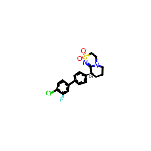 O=S1(=O)CCN2CCC[C@@H](c3ccc(-c4ccc(Cl)c(F)c4)cc3)C2=N1